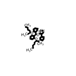 CCCCCC(CC)Oc1ccccc1C(Oc1nnncc1-c1ccccc1)c1ccccc1OC(CC)CCCCC